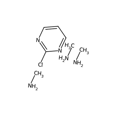 CN.CN.CN.Clc1ncccn1